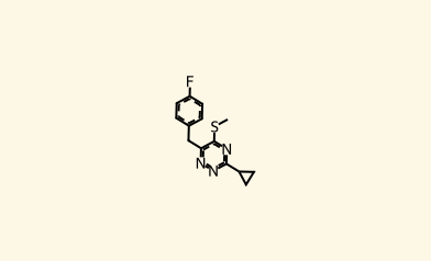 CSc1nc(C2CC2)nnc1Cc1ccc(F)cc1